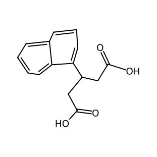 O=C(O)CC(CC(=O)O)c1cccc2ccccc12